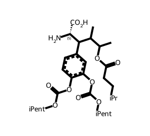 CCCC(C)OC(=O)Oc1ccc(C(C(C)C(C)OC(=O)CCC(C)C)[C@H](N)C(=O)O)cc1OC(=O)OC(C)CCC